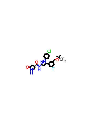 CC(C)(OCc1cc(F)cc(-c2cc(NC(=O)[C@@H]3CNC(=O)C3)nn2-c2ccc(Cl)cc2)c1)C(F)(F)F